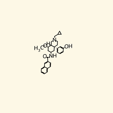 COC1C[C@H](NC(=O)c2ccc3ccccc3c2)C[C@]2(c3cccc(O)c3)CCN(CC3CC3)C[C@@H]12